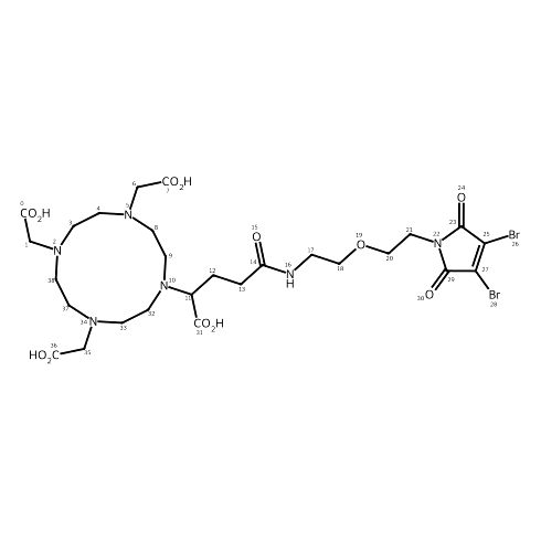 O=C(O)CN1CCN(CC(=O)O)CCN(C(CCC(=O)NCCOCCN2C(=O)C(Br)=C(Br)C2=O)C(=O)O)CCN(CC(=O)O)CC1